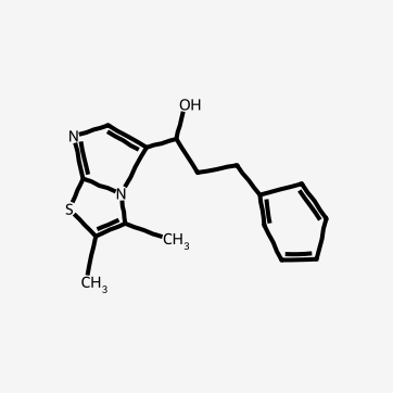 Cc1sc2ncc(C(O)CCc3ccccc3)n2c1C